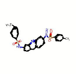 Cc1ccc(S(=O)(=O)Nc2ccc3cc4ccc(NS(=O)(=O)c5ccc(C)cc5)cc4nc3c2)cc1